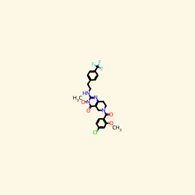 COc1cc(Cl)ccc1C(=O)N1CCc2nc(NCCc3ccc(C(F)(F)F)cc3)n(OC)c(=O)c2C1